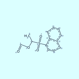 [CH2]C(O[C]=O)S(=O)(=O)c1cccc2ccccc12